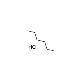 CCCCCC.Cl